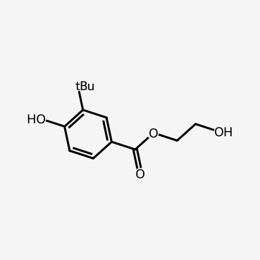 CC(C)(C)c1cc(C(=O)OCCO)ccc1O